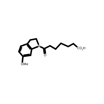 COc1ccc2c(c1)N(C(=O)CCCCCC(=O)O)CC2